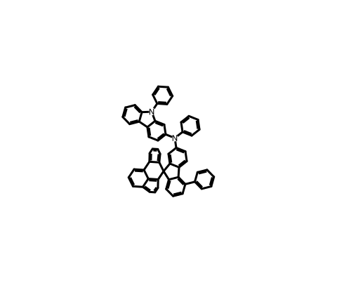 c1ccc(-c2cccc3c2-c2ccc(N(c4ccccc4)c4ccc5c6ccccc6n(-c6ccccc6)c5c4)cc2C32c3ccccc3-c3cccc4cccc2c34)cc1